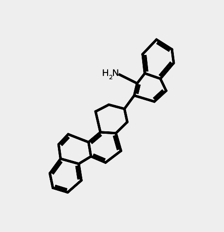 Nc1c(C2CCc3c(ccc4c3ccc3ccccc34)C2)ccc2ccccc12